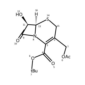 CC(=O)OCC1=C(C(=O)OC(C)(C)C)N2C(=O)[C@@H](O)[C@H]2SC1